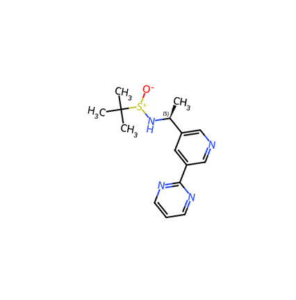 C[C@H](N[S+]([O-])C(C)(C)C)c1cncc(-c2ncccn2)c1